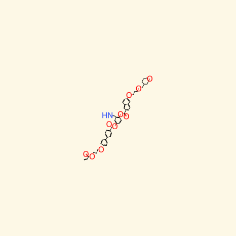 C=CC(=O)OCCCOc1ccc(-c2ccc(C(=O)Oc3ccc(OC(=O)c4ccc5cc(OCCCOCC6CCC7OC7C6)ccc5c4)c(C=N)c3)cc2)cc1